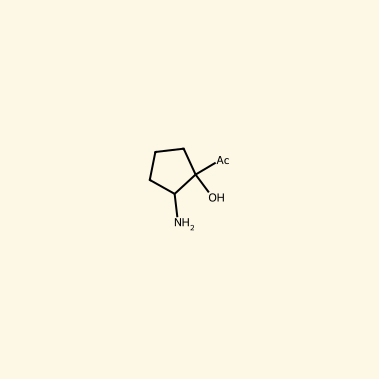 CC(=O)C1(O)CCCC1N